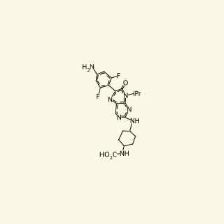 CC(C)n1c(=O)c(-c2c(F)cc(N)cc2F)nc2cnc(NC3CCC(NC(=O)O)CC3)nc21